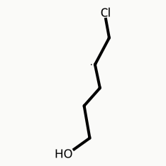 OCCC[CH]CCl